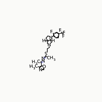 C/C(=N\N=C(/C)c1ocnc1C)SCCCN1C[C@@H]2CCN(c3ccc(C(F)(F)F)cc3F)[C@@H]2C1